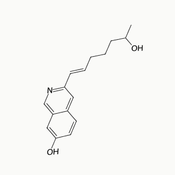 CC(O)CCCC=Cc1cc2ccc(O)cc2cn1